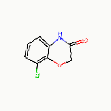 O=C1COc2c(Cl)cccc2N1